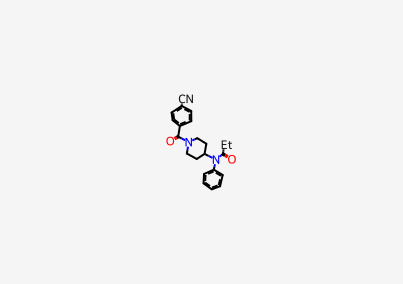 CCC(=O)N(c1ccccc1)C1CCN(C(=O)c2ccc(C#N)cc2)CC1